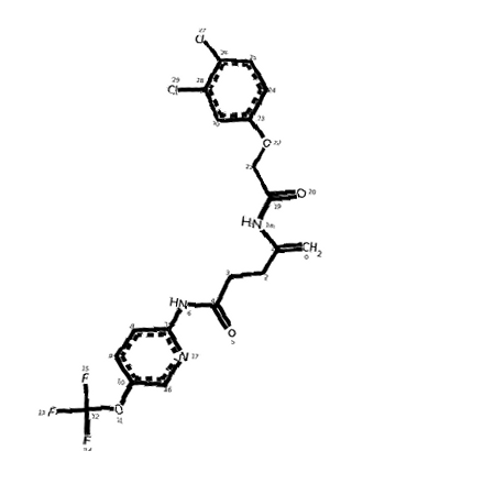 C=C(CCC(=O)Nc1ccc(OC(F)(F)F)cn1)NC(=O)COc1ccc(Cl)c(Cl)c1